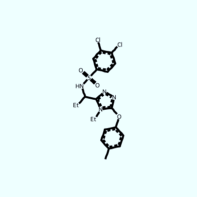 CCC(NS(=O)(=O)c1ccc(Cl)c(Cl)c1)c1nnc(Oc2ccc(C)cc2)n1CC